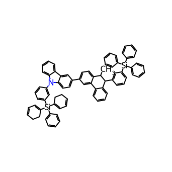 CC1c2ccc(-c3ccc4c(c3)c3ccccc3n4-c3cccc([Si](C4=CC=CCC4)(C4=CC=CCC4)c4ccccc4)c3)cc2-c2ccccc2C1c1cccc([Si](c2ccccc2)(c2ccccc2)c2ccccc2)c1